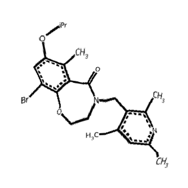 Cc1cc(C)c(CN2CCOc3c(Br)cc(OC(C)C)c(C)c3C2=O)c(C)n1